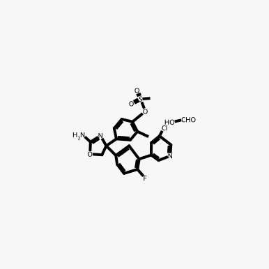 Cc1cc(C2(c3ccc(F)c(-c4cncc(Cl)c4)c3)COC(N)=N2)ccc1OS(C)(=O)=O.O=CO